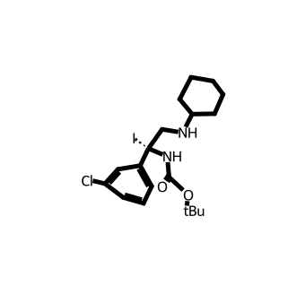 CC(C)(C)OC(=O)N[C@](I)(CNC1CCCCC1)c1cccc(Cl)c1